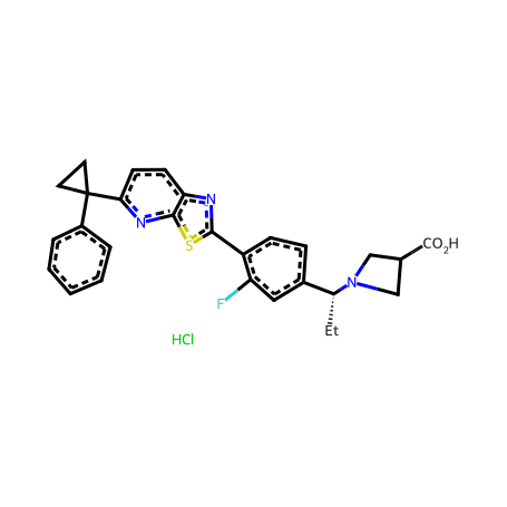 CC[C@H](c1ccc(-c2nc3ccc(C4(c5ccccc5)CC4)nc3s2)c(F)c1)N1CC(C(=O)O)C1.Cl